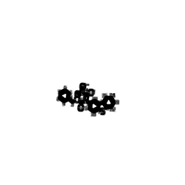 O=C(OCc1ccccc1)N(C(=O)[N+](=O)[O-])c1ccc2sc3ccccc3c2c1